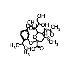 COC1CC(Oc2cc(C)ccc2C(C)C)(C(=O)O)OC(C(OC)C(O)CO)C1NC(C)=O